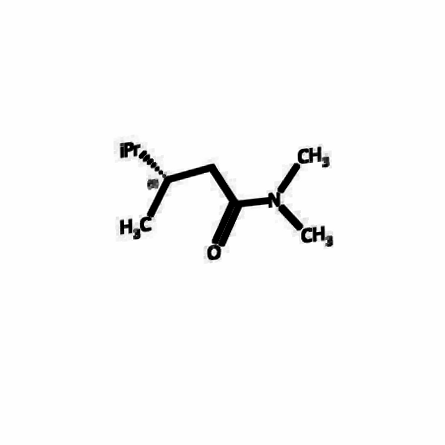 CC(C)[C@@H](C)CC(=O)N(C)C